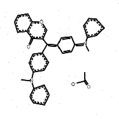 CC(=O)[O-].CN(c1ccccc1)c1ccc(C(=C2C=CC(=[N+](C)c3ccccc3)C=C2)c2coc3ccccc3c2=O)cc1